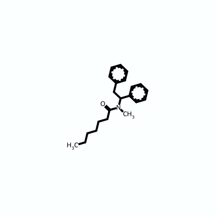 CCCCCCC(=O)N(C)C(Cc1ccccc1)c1ccccc1